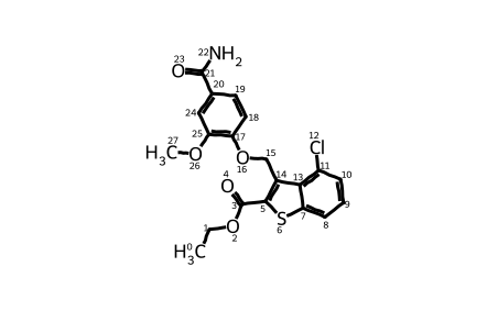 CCOC(=O)c1sc2cccc(Cl)c2c1COc1ccc(C(N)=O)cc1OC